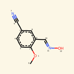 COc1ccc(C#N)cc1C=NO